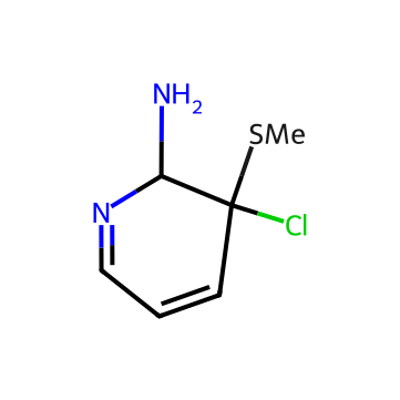 CSC1(Cl)C=CC=NC1N